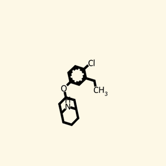 CCc1cc(OC2CC3CCCC(C2)N3)ccc1Cl